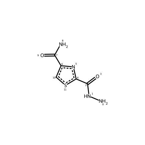 NNC(=O)c1nc(C(N)=O)cs1